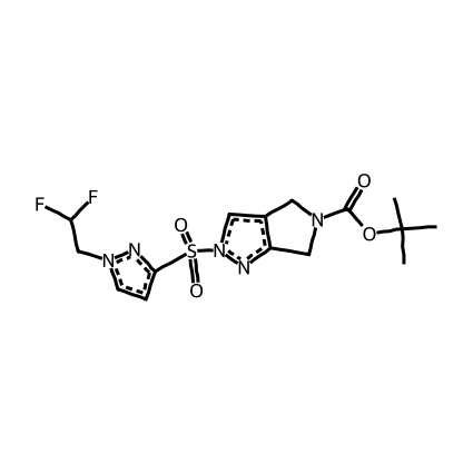 CC(C)(C)OC(=O)N1Cc2cn(S(=O)(=O)c3ccn(CC(F)F)n3)nc2C1